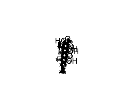 CC(=O)C1=C(O)[C@@H](N(C)C)[C@@H]2C[C@@H]3Cc4c(F)c5c(c(O)c4C(=O)C3=C(O)[C@]2(O)C1=O)CN(C1CC1)C5